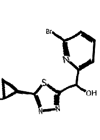 OC(c1cccc(Br)n1)c1nnc(C2CC2)s1